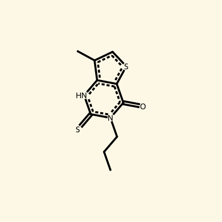 CCCn1c(=S)[nH]c2c(C)csc2c1=O